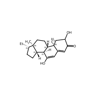 CC[C@H]1CC[C@H]2[C@@H]3C(O)=CC4=CC(=O)C(O)C[C@]4(C)[C@H]3CC[C@]12C